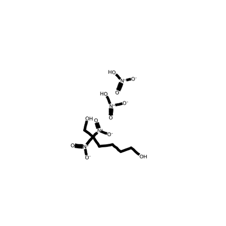 O=[N+]([O-])C(CO)(CCCCO)[N+](=O)[O-].O=[N+]([O-])O.O=[N+]([O-])O